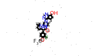 C[C@@H]1C[C@@H](O)c2ncnc(N3CCN(C(=O)C(c4ccc(OC(F)(F)F)c(F)c4)C4CCC(C)(C)N4)CC3)c21